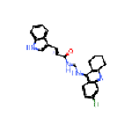 O=C(/C=C/c1c[nH]c2ccccc12)NCNc1c2c(nc3cc(Cl)ccc13)CCCC2